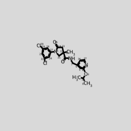 CC(C)Oc1cc(CNC(=O)C2(C)CC(=O)N(c3cc(Cl)cc(Cl)c3)C2)ccn1